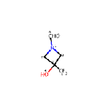 O=[C]N1CC(O)(C(F)(F)F)C1